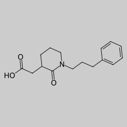 O=C(O)CC1CCCN(CCCc2ccccc2)C1=O